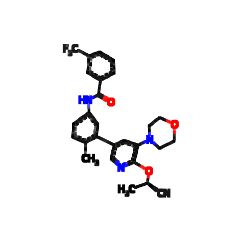 Cc1ccc(NC(=O)c2cccc(C(F)(F)F)c2)cc1-c1cnc(O[C@H](C)C#N)c(N2CCOCC2)c1